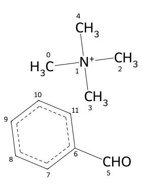 C[N+](C)(C)C.O=Cc1ccccc1